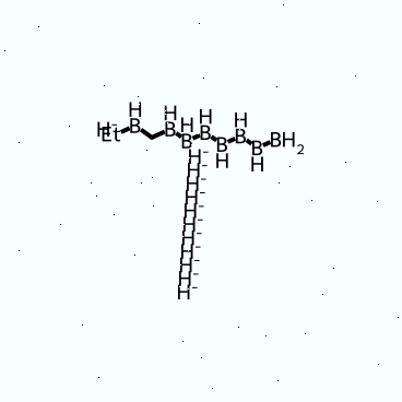 BBBBBBBCBCC.[H-].[H-].[H-].[H-].[H-].[H-].[H-].[H-].[H-].[H-].[H-].[H-]